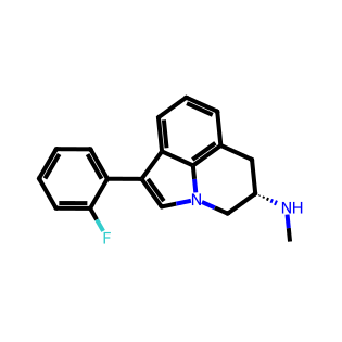 CN[C@H]1Cc2cccc3c(-c4ccccc4F)cn(c23)C1